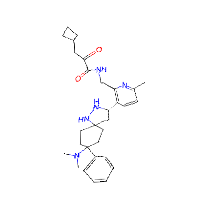 Cc1ccc([C@@H]2CC3(CCC(c4ccccc4)(N(C)C)CC3)NN2)c(CNC(=O)C(=O)CC2CCC2)n1